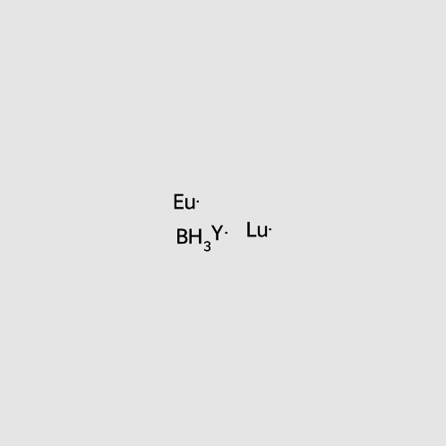 B.[Eu].[Lu].[Y]